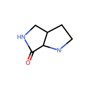 O=C1NCC2CC[N]C12